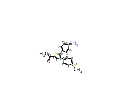 CSc1ccc(-c2cc(C(C)=O)sc2-c2ccc(N)cc2)cc1